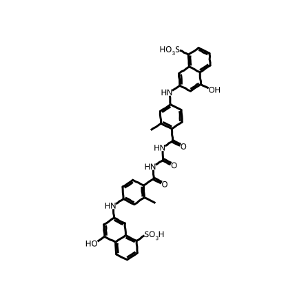 Cc1cc(Nc2cc(O)c3cccc(S(=O)(=O)O)c3c2)ccc1C(=O)NC(=O)NC(=O)c1ccc(Nc2cc(O)c3cccc(S(=O)(=O)O)c3c2)cc1C